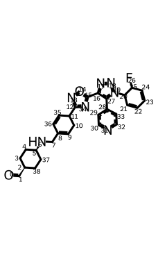 O=C[C@H]1CC[C@@H](NCC2=CCC(c3noc(-c4nnn(C5C=CC=CC5F)c4-c4ccncc4)n3)C=C2)CC1